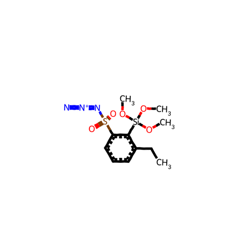 CCc1cccc(S(=O)(=O)N=[N+]=[N-])c1[Si](OC)(OC)OC